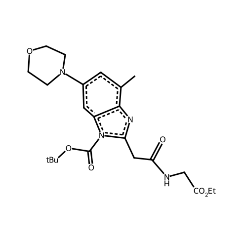 CCOC(=O)CNC(=O)Cc1nc2c(C)cc(N3CCOCC3)cc2n1C(=O)OC(C)(C)C